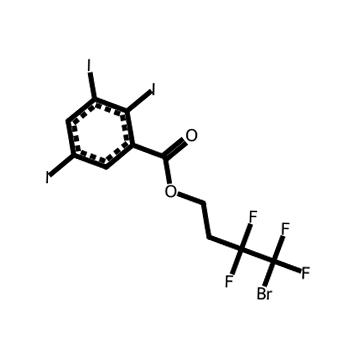 O=C(OCCC(F)(F)C(F)(F)Br)c1cc(I)cc(I)c1I